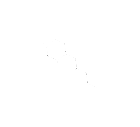 CCCCCN1CCSCC1